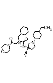 CC[C@H]1CC[C@H](N2CC[C@@](C#N)(NC(=O)[C@@H](CC(=O)N3CCOCC3)CC3CCCCC3)C2)CC1